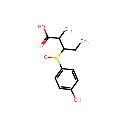 CCC(C(C)C(=O)O)[S+]([O-])c1ccc(O)cc1